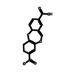 O=C(O)C1=CC2=COC3=C(CCC([N+](=O)[O-])=C3)SC2C=C1